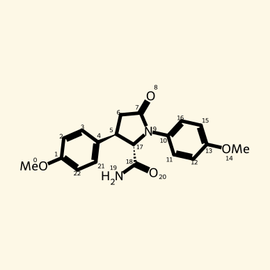 COc1ccc([C@H]2CC(=O)N(c3ccc(OC)cc3)[C@@H]2C(N)=O)cc1